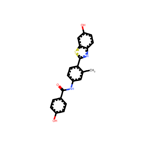 Cc1cc(NC(=O)c2ccc(O)cc2)ccc1-c1nc2ccc(O)cc2s1